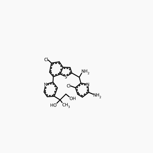 CC(O)(CO)c1ccnc(-c2cc(Cl)cc3cc(C(N)c4nc(N)ccc4Cl)sc23)c1